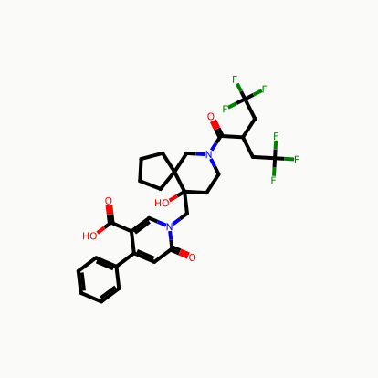 O=C(O)c1cn(CC2(O)CCN(C(=O)C(CC(F)(F)F)CC(F)(F)F)CC23CCCC3)c(=O)cc1-c1ccccc1